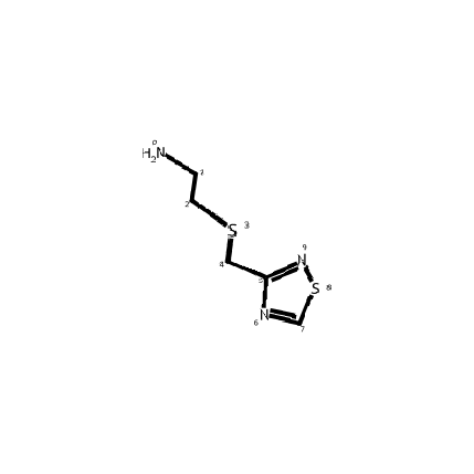 NCCSCc1ncsn1